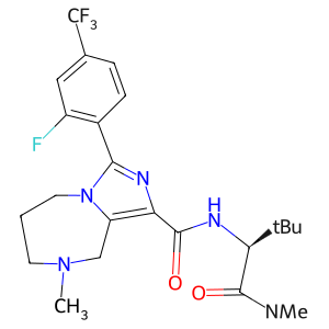 CNC(=O)[C@@H](NC(=O)c1nc(-c2ccc(C(F)(F)F)cc2F)n2c1CN(C)CCC2)C(C)(C)C